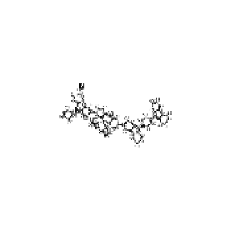 N#Cc1ccc2c(c1)c1cc(-c3ccc4c(c3)C3(c5ccc(-c6ccc7c(c6)c6ccccc6n7-c6ccc(-n7c8ccccc8c8ccccc87)cc6)cc5O4)c4cccnc4-c4ncccc43)ccc1n2-c1ccccc1